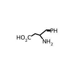 NC(C=P)CC(=O)O